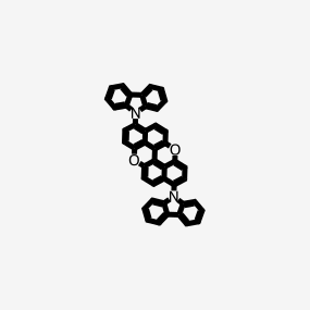 c1ccc2c(c1)c1ccccc1n2-c1ccc2oc3ccc4c(-n5c6ccccc6c6ccccc65)ccc5oc6ccc1c2c6-c3c54